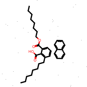 CCCCCCCCOC(=O)c1cccc(CCCCCCCC)c1C(=O)O.c1ccc2ccccc2c1